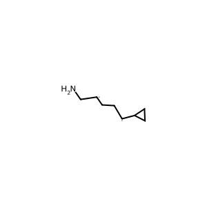 NC[CH]CC[CH]C1CC1